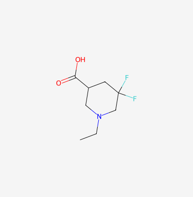 CCN1CC(C(=O)O)CC(F)(F)C1